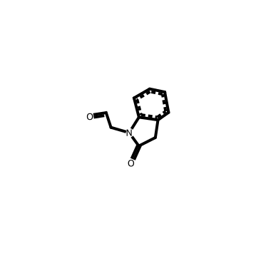 O=CCN1C(=O)Cc2ccccc21